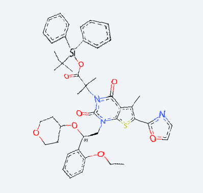 CCOc1ccccc1[C@H](Cn1c(=O)n(C(C)(C)C(=O)O[Si](c2ccccc2)(c2ccccc2)C(C)(C)C)c(=O)c2c(C)c(-c3ncco3)sc21)OC1CCOCC1